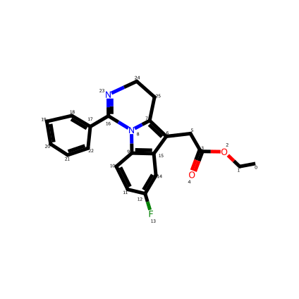 CCOC(=O)Cc1c2n(c3ccc(F)cc13)C(c1ccccc1)=NCC2